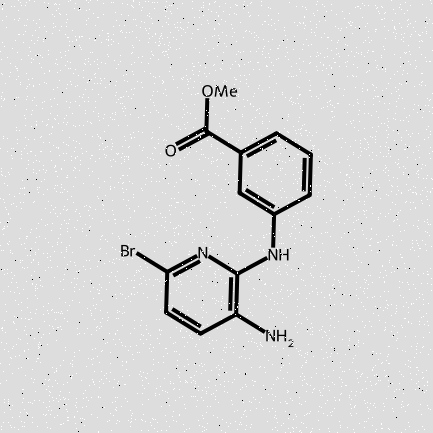 COC(=O)c1cccc(Nc2nc(Br)ccc2N)c1